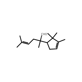 CC(C)=CCC(C)(C=O)C1CC=C(C)C1(C)C